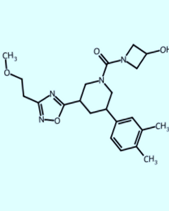 COCCc1noc(C2CC(c3ccc(C)c(C)c3)CN(C(=O)N3CC(O)C3)C2)n1